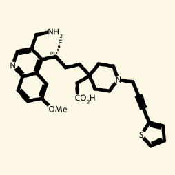 COc1ccc2ncc(CN)c([C@H](F)CCC3(CC(=O)O)CCN(CC#Cc4cccs4)CC3)c2c1